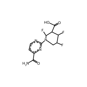 NC(=O)c1ccnc(N2CC(F)C(F)C(C(=O)O)C2F)n1